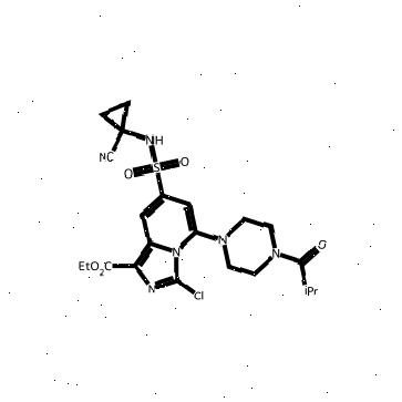 CCOC(=O)c1nc(Cl)n2c(N3CCN(C(=O)C(C)C)CC3)cc(S(=O)(=O)NC3(C#N)CC3)cc12